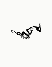 Clc1ccc(-c2cc(C3CCN(Cc4ccccc4Cl)CC3)n[nH]2)cc1